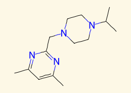 Cc1cc(C)nc(CN2CCN(C(C)C)CC2)n1